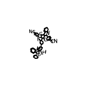 Cc1c2c(-c3ccc(C#N)cc3)nc3cc(-c4ccc([PH](O)(c5ccccc5)c5ccccc5)cc4)ccc3c2c(C)c2c(-c3ccc(C#N)cc3)nc3ccccc3c12